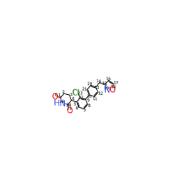 O=C1CCC(c2cccc(-c3ccc(Cc4ccon4)cc3)c2Cl)C(=O)N1